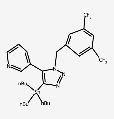 CCC[CH2][Sn]([CH2]CCC)([CH2]CCC)[c]1nnn(Cc2cc(C(F)(F)F)cc(C(F)(F)F)c2)c1-c1cccnc1